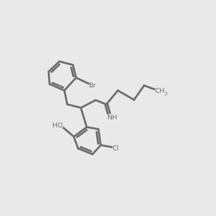 CCCCC(=N)CC(Cc1ccccc1Br)c1cc(Cl)ccc1O